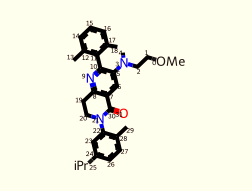 COCCN(C)c1cc2c(nc1-c1c(C)cccc1C)CCN(c1cc(C(C)C)ccc1C)C2=O